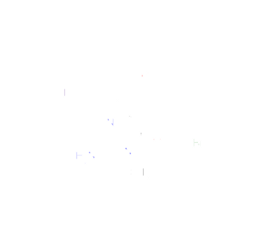 CN1C(=O)C2(N=C1N)c1cc(Br)ccc1Oc1ccc(I)cc12